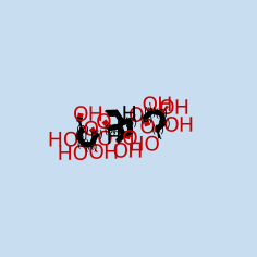 OC[C@H]1O[C@@H](O[C@@H]2C3OC3(CO)[C@H]3[C@H](O[C@@H]4O[C@H](CO)[C@@H](O)[C@H](O)[C@H]4O)OC=C[C@H]32)[C@H](O)[C@@H](O)[C@H]1O